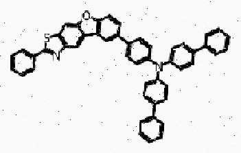 c1ccc(-c2ccc(N(c3ccc(-c4ccccc4)cc3)c3ccc(-c4ccc5oc6cc7sc(-c8ccccc8)nc7cc6c5c4)cc3)cc2)cc1